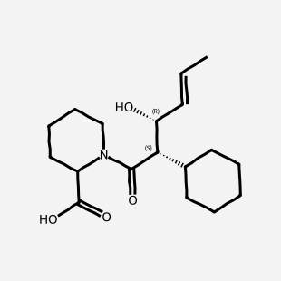 CC=C[C@@H](O)[C@@H](C(=O)N1CCCCC1C(=O)O)C1CCCCC1